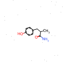 CC(Cc1ccc(O)cc1)C(N)=O